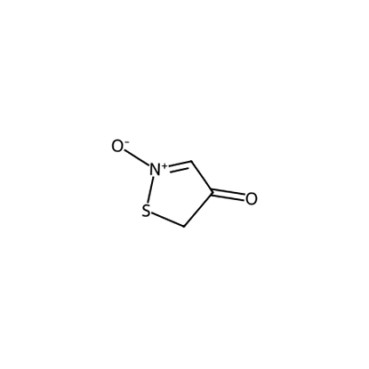 O=C1C=[N+]([O-])SC1